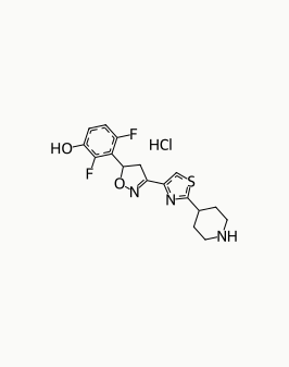 Cl.Oc1ccc(F)c(C2CC(c3csc(C4CCNCC4)n3)=NO2)c1F